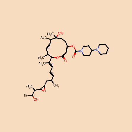 CCC(O)C(C)C1OC1CC(C)/C=C/C=C(\C)C1OC(=O)CC(OC(=O)N2CCC(N3CCCCC3)CC2)CCC(C)(O)C(OC(C)=O)/C=C/C1C